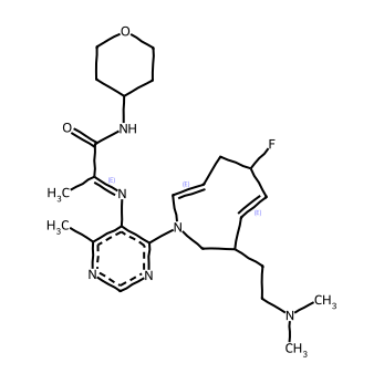 C/C(=N\c1c(C)ncnc1N1/C=C/CC(F)/C=C/C(CCN(C)C)C1)C(=O)NC1CCOCC1